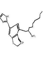 CCCCCC(N)c1cc(-c2ncc[nH]2)cc2c1OCO2